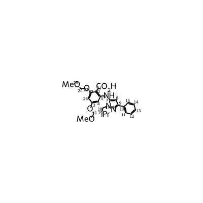 COCOc1cc(Nc2cc(-c3ccccc3)nn2CC(C)C)c(C(=O)O)c(OCOC)c1